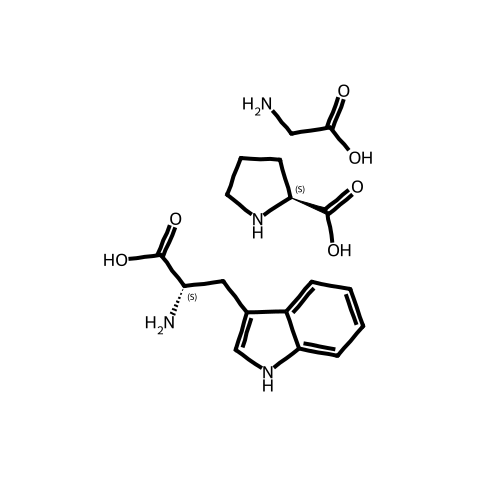 NCC(=O)O.N[C@@H](Cc1c[nH]c2ccccc12)C(=O)O.O=C(O)[C@@H]1CCCN1